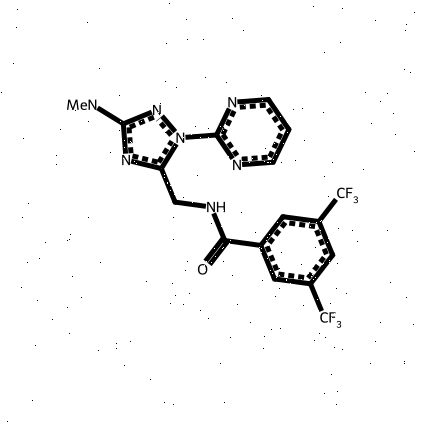 CNc1nc(CNC(=O)c2cc(C(F)(F)F)cc(C(F)(F)F)c2)n(-c2ncccn2)n1